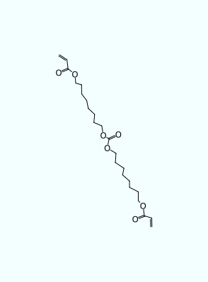 C=CC(=O)OCCCCCCCCOC(=O)OCCCCCCCCOC(=O)C=C